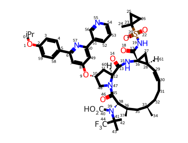 CC(C)Oc1ccc(-c2cc(O[C@@H]3C[C@H]4C(=O)N[C@]5(C(=O)NS(=O)(=O)C6(C)CC6)C[C@H]5C=CCC[C@@H](C)C[C@@H](C)[C@H](N(C(=O)O)C(C)(C)C(F)(F)F)C(=O)N4C3)cc(-c3cccnc3)n2)cc1